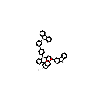 C[C@H]1CC2C[C@H](C)CC(c3ccccc3N(c3ccc(-c4cccc(-n5c6ccccc6c6ccccc65)c4)cc3)c3ccc(-c4ccc5sc6ccccc6c5c4)cc3)(C2)C1